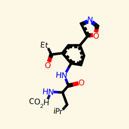 CCC(=O)c1cc(-c2cnco2)ccc1NC(=O)C(CC(C)C)NC(=O)O